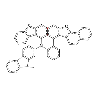 CC1(C)c2ccccc2-c2ccc(N(c3ccccc3-c3cccc4oc5c6ccccc6ccc5c34)c3cccc4sc5ccccc5c34)cc21